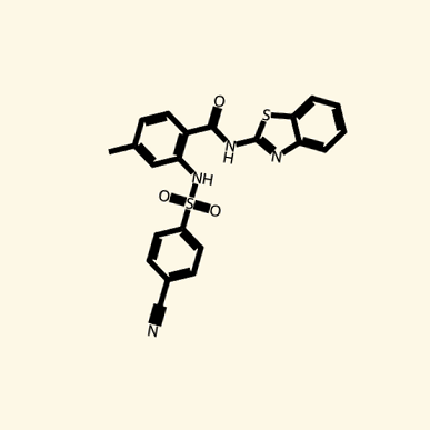 Cc1ccc(C(=O)Nc2nc3ccccc3s2)c(NS(=O)(=O)c2ccc(C#N)cc2)c1